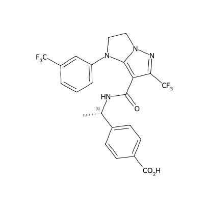 C[C@H](NC(=O)c1c(C(F)(F)F)nn2c1N(c1cccc(C(F)(F)F)c1)CC2)c1ccc(C(=O)O)cc1